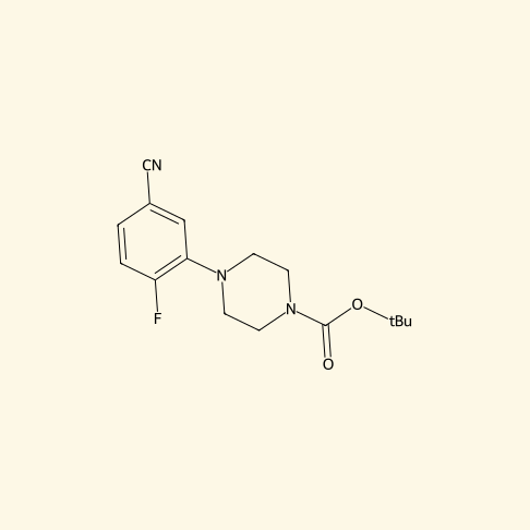 CC(C)(C)OC(=O)N1CCN(c2cc(C#N)ccc2F)CC1